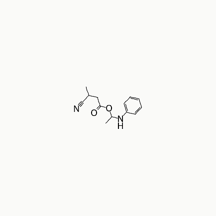 CC(C#N)CC(=O)OC(C)Nc1ccccc1